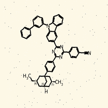 CC[C@@H]1C[C@@H]2C[C@H](C)CC(c3ccc(-c4nc(-c5ccc(C#N)cc5)nc(-c5ccc6c(c5)c5ccccc5n6-c5cccc(-c6ccccc6)c5)n4)cc3)(C1)C2